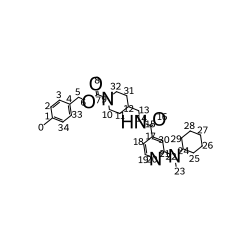 Cc1ccc(COC(=O)N2CCC(CNC(=O)c3ccnc(N(C)C4CCCCC4)c3)CC2)cc1